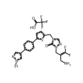 CCn1cc(-c2ccc(-c3ccc(Cn4cnn(CC(CN)=C(F)F)c4=O)s3)cc2)cn1.O=C(O)C(F)(F)F